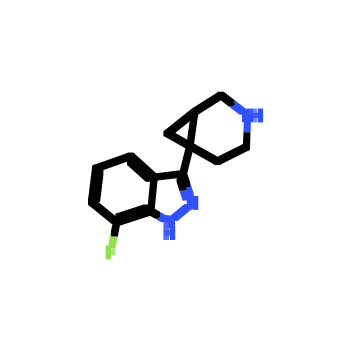 Fc1cccc2c(C34CCNCC3C4)n[nH]c12